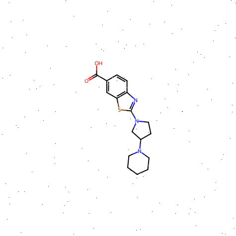 O=C(O)c1ccc2nc(N3CCC(N4CCCCC4)C3)sc2c1